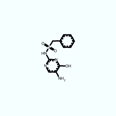 Nc1cnc(NS(=O)(=O)Cc2ccccc2)nc1O